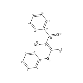 CCC(Sc1ccccc1)=C(C#N)C(=O)c1ccccc1